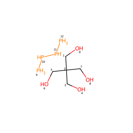 OCC(CO)(CO)CO.PPPP